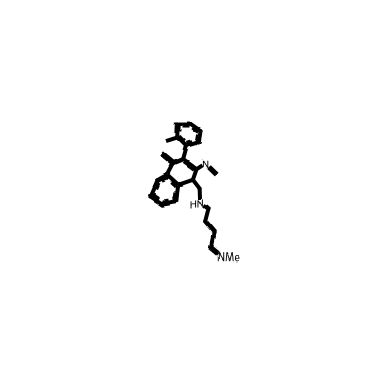 C=NC1=C(c2ccccc2C)C(=C)c2ccccc2C1CNCCCCNC